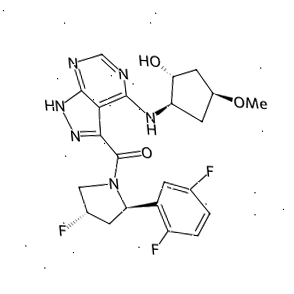 CO[C@@H]1C[C@@H](O)[C@H](Nc2ncnc3[nH]nc(C(=O)N4C[C@@H](F)C[C@@H]4c4cc(F)ccc4F)c23)C1